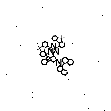 CC1(C)c2ccccc2-c2c(-c3nc(-c4cccc5c4-c4ccccc4C5(C)C)nc(-c4cc(-n5c6ccc7ccccc7c6c6c7ccccc7ccc65)cc5c4sc4ccccc45)n3)cccc21